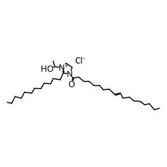 CCCCCCCCC=CCCCCCCCC(=O)N1CC[N+](C(C)O)=C1CCCCCCCCCCCC.[Cl-]